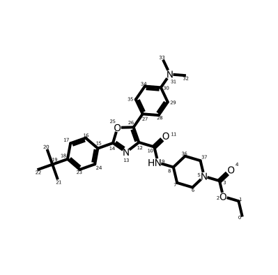 CCOC(=O)N1CCC(NC(=O)c2nc(-c3ccc(C(C)(C)C)cc3)oc2-c2ccc(N(C)C)cc2)CC1